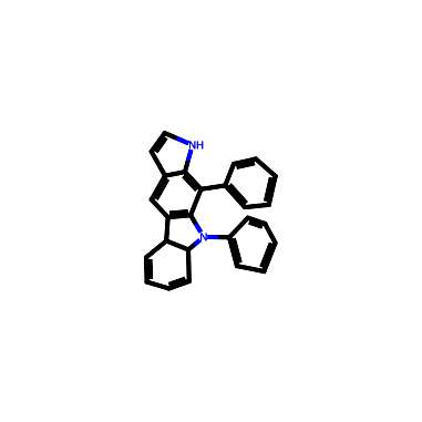 C1=CC2c3cc4cc[nH]c4c(-c4ccccc4)c3N(c3ccccc3)C2C=C1